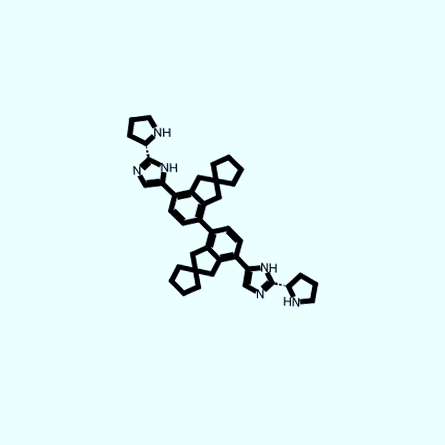 c1nc([C@@H]2CCCN2)[nH]c1-c1ccc(-c2ccc(-c3cnc([C@@H]4CCCN4)[nH]3)c3c2CC2(CCCC2)C3)c2c1CC1(CCCC1)C2